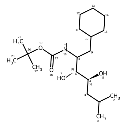 CC(C)C[C@H](O)[C@H](O)C(CC1CCCCC1)NC(=O)OC(C)(C)C